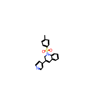 Cc1ccc(S(=O)(=O)N2CC(c3ccncc3)=Cc3ccccc32)cc1